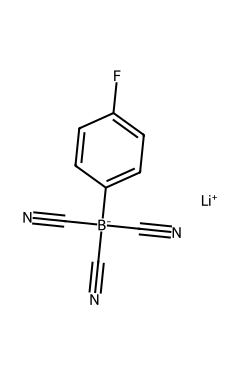 N#C[B-](C#N)(C#N)c1ccc(F)cc1.[Li+]